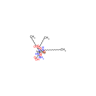 [2H][C@](C)(C(=O)NC(CCC(=O)O)C(N)=O)N(C[C@H](COC(=O)CCCCCCCCC)OC(=O)CCCCCCCCC)C(=O)C(CS)NC(=O)CCCCCCCCCCCCCCC